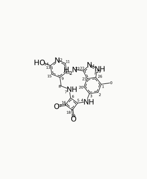 Cc1cc(Nc2c(NCc3ccnc(O)c3)c(=O)c2=O)cc2c(N)n[nH]c12